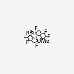 COc1c(F)cc2c(F)c(F)c(F)c(F)c2c1-c1c(C(C)(C)C)c(F)cc2c(F)c(F)c(F)c(F)c12